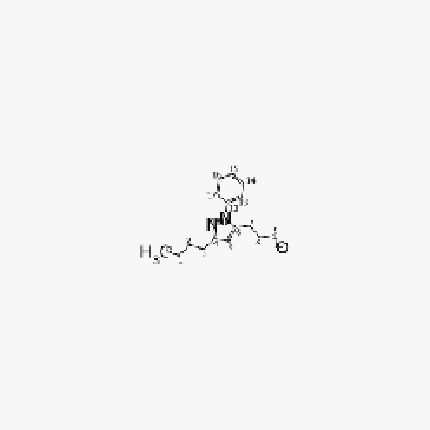 CCCCc1cc(CCC=O)n(-c2ccccc2)n1